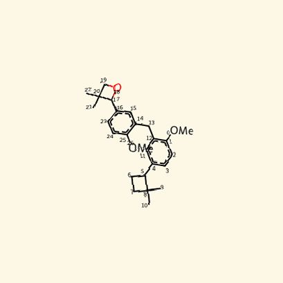 COc1ccc(C2CCC2(C)C)cc1Cc1cc(C2OCC2(C)C)ccc1OC